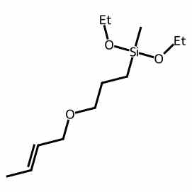 CC=CCOCCC[Si](C)(OCC)OCC